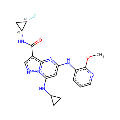 COc1ncccc1Nc1cc(NC2CC2)n2ncc(C(=O)N[C@@H]3C[C@@H]3F)c2n1